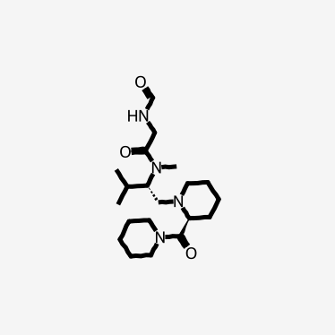 CC(C)[C@@H](CN1CCCC[C@H]1C(=O)N1CCCCC1)N(C)C(=O)CNC=O